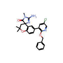 CN1C(=O)C2(CC(C)(C)Oc3ccc(-c4cc(Cl)cnc4OCc4ccccc4)cc32)N=C1N